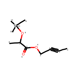 CC#CCOC(=O)C(C)O[Si](C)(C)C